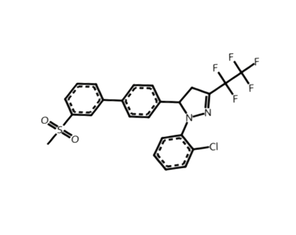 CS(=O)(=O)c1cccc(-c2ccc(C3CC(C(F)(F)C(F)(F)F)=NN3c3ccccc3Cl)cc2)c1